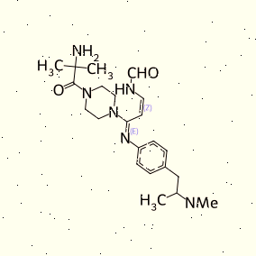 CNC(C)Cc1ccc(/N=C(\C=C/NC=O)N2CCN(C(=O)C(C)(C)N)CC2)cc1